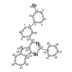 Brc1cccc(-c2cccc(-c3nc(-c4ccccc4)nc4c3sc3ccccc34)c2)c1